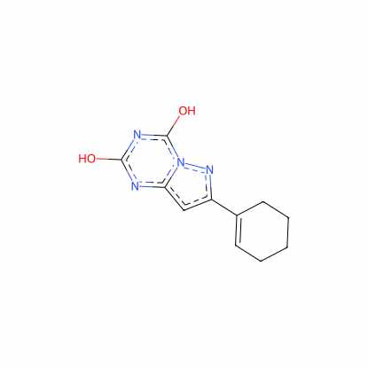 Oc1nc(O)n2nc(C3=CCCCC3)cc2n1